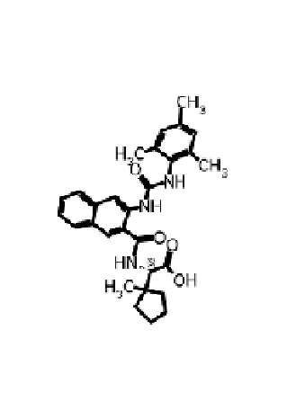 Cc1cc(C)c(NC(=O)Nc2cc3ccccc3cc2C(=O)N[C@H](C(=O)O)C2(C)CCCC2)c(C)c1